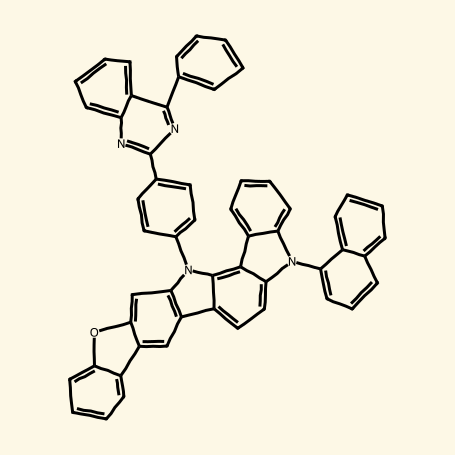 c1ccc(-c2nc(-c3ccc(-n4c5cc6oc7ccccc7c6cc5c5ccc6c(c7ccccc7n6-c6cccc7ccccc67)c54)cc3)nc3ccccc23)cc1